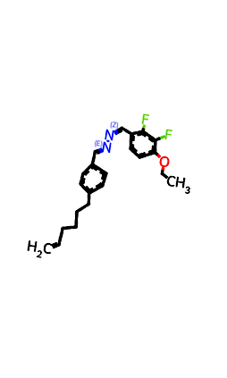 C=CCCCCc1ccc(/C=N/N=C\c2ccc(OCC)c(F)c2F)cc1